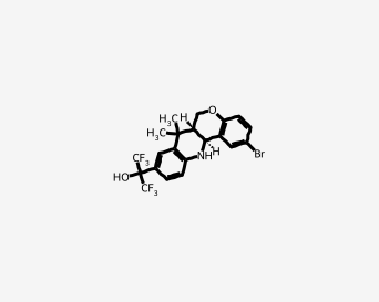 CC1(C)c2cc(C(O)(C(F)(F)F)C(F)(F)F)ccc2N[C@@H]2c3cc(Br)ccc3OC[C@H]21